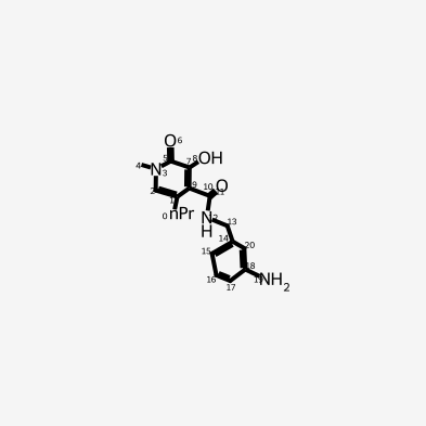 CCCc1cn(C)c(=O)c(O)c1C(=O)NCc1cccc(N)c1